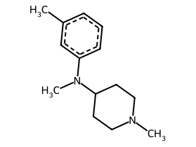 Cc1cccc(N(C)C2CCN(C)CC2)c1